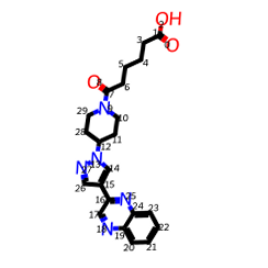 O=C(O)CCCCC(=O)N1CCC(n2cc(-c3cnc4ccccc4n3)cn2)CC1